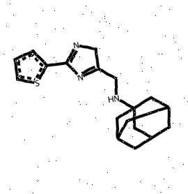 c1csc(C2=NCC(CNC34CC5CC(CC(C5)C3)C4)=N2)c1